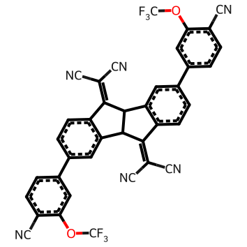 N#CC(C#N)=C1c2ccc(-c3ccc(C#N)c(OC(F)(F)F)c3)cc2C2C(=C(C#N)C#N)c3ccc(-c4ccc(C#N)c(OC(F)(F)F)c4)cc3C12